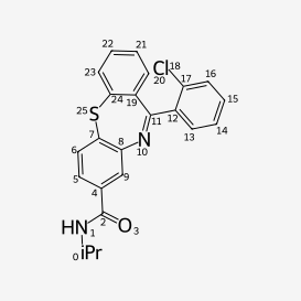 CC(C)NC(=O)c1ccc2c(c1)N=C(c1ccccc1Cl)c1ccccc1S2